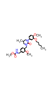 CCCCCOc1cc(N2CC(C)CN(Cc3ccc(CNC(=O)OC)cc3OC)C2=O)ccc1OC